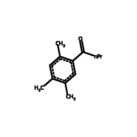 CCCC(=O)c1cc(C)c(C)cc1C